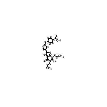 CCCn1c(=O)c2[nH]c(-c3cnn(Cc4ccc(C(=O)O)cc4)c3)nc2n(CCC)c1=O